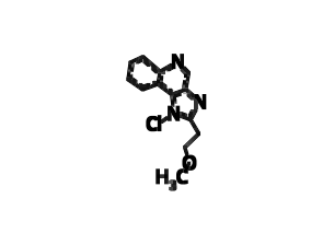 COCCc1nc2cnc3ccccc3c2n1Cl